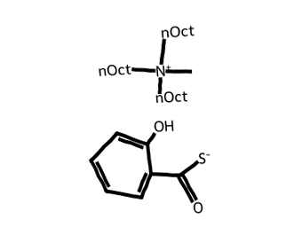 CCCCCCCC[N+](C)(CCCCCCCC)CCCCCCCC.O=C([S-])c1ccccc1O